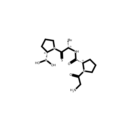 CCC(C)[C@H](NC(=O)[C@@H]1CCCN1C(=O)CN)C(=S)N1CCC[C@H]1B(O)O